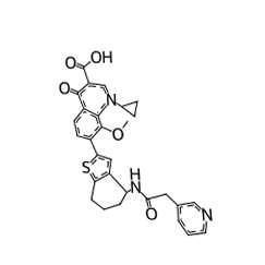 COc1c(-c2cc3c(s2)CCCC3NC(=O)Cc2cccnc2)ccc2c(=O)c(C(=O)O)cn(C3CC3)c12